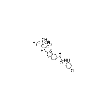 CC(C)(C)OC(=O)Nc1nc2ccc(NC(=O)Nc3ccc(Cl)cc3)cc2s1